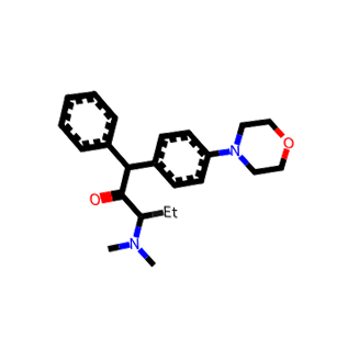 CCC(C(=O)C(c1ccccc1)c1ccc(N2CCOCC2)cc1)N(C)C